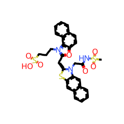 CS(=O)(=O)NC(=O)CN1C(=Cc2oc3ccc4ccccc4c3[n+]2CCCS(=O)(=O)O)Sc2cc3ccccc3cc21